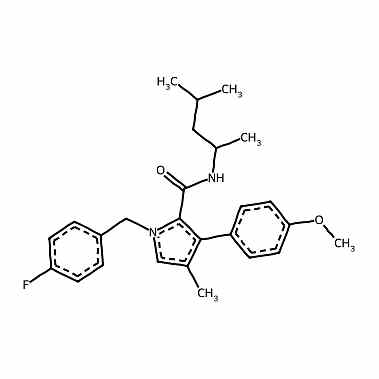 COc1ccc(-c2c(C)cn(Cc3ccc(F)cc3)c2C(=O)NC(C)CC(C)C)cc1